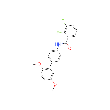 COc1ccc(OC)c(-c2ccc(NC(=O)c3cccc(F)c3F)cc2)c1